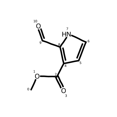 COC(=O)c1cc[nH]c1C=O